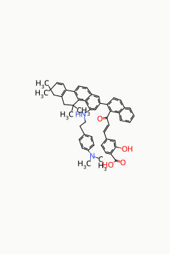 CN(C)c1ccc(CCNc2cc(-c3ccc4ccccc4c3C(=O)C=Cc3ccc(C(=O)O)c(O)c3)cc3ccc4c(c23)C(C)(C)CC2=C4C=CC(C)(C)C2)cc1